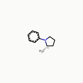 C[C@H]1CCCN1c1c[c]ccc1